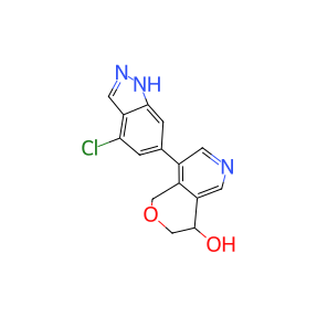 OC1COCc2c(-c3cc(Cl)c4cn[nH]c4c3)cncc21